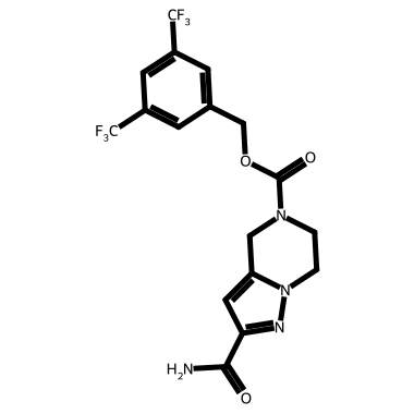 NC(=O)c1cc2n(n1)CCN(C(=O)OCc1cc(C(F)(F)F)cc(C(F)(F)F)c1)C2